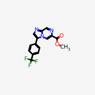 COC(=O)c1cn2c(-c3ccc(C(F)(F)F)cc3)cnc2cn1